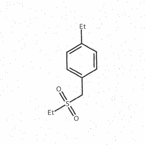 CCc1ccc(CS(=O)(=O)CC)cc1